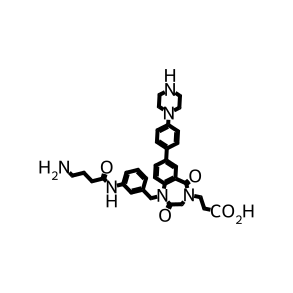 NCCCC(=O)Nc1cccc(CN2C(=O)CN(CCC(=O)O)C(=O)c3cc(-c4ccc(N5CCNCC5)cc4)ccc32)c1